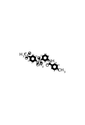 Cc1ccc(C(=O)Nc2cccc(S(=O)(=O)N(C)c3ccc(S(C)(=O)=O)cc3)c2)cc1